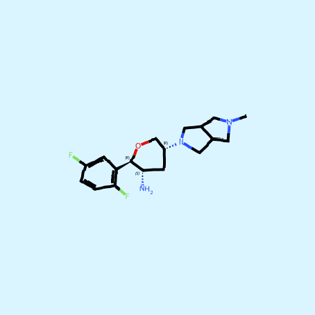 CN1CC2CN([C@H]3CO[C@H](c4cc(F)ccc4F)[C@@H](N)C3)CC2C1